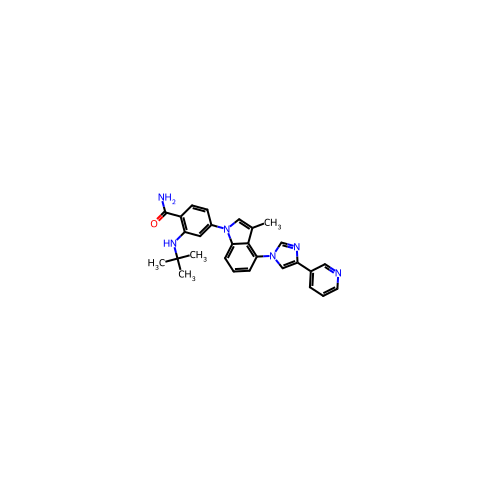 Cc1cn(-c2ccc(C(N)=O)c(NC(C)(C)C)c2)c2cccc(-n3cnc(-c4cccnc4)c3)c12